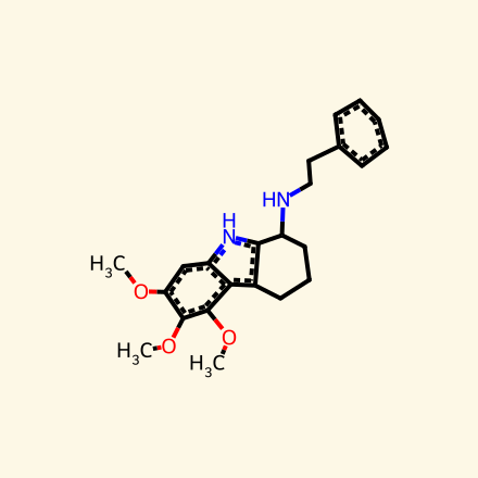 COc1cc2[nH]c3c(c2c(OC)c1OC)CCCC3NCCc1ccccc1